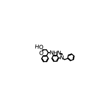 O=C(O)CC(Nc1cccc2c1ncn2Cc1ccccc1)c1ccccc1